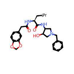 CC(C)C[C@H](NC(=O)Cc1ccc2c(c1)OCO2)C(=O)NC1CN(Cc2ccccc2)CC1O